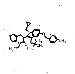 CCOC(=O)C(Cc1ccccc1)c1c(SC(C)(C)C)c2cc(OCc3ccc(C)cn3)ccc2n1CC1CC1